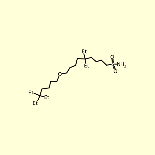 CCC(CC)(CC)CCCCOCCCCC(CC)(CC)CCCCS(N)(=O)=O